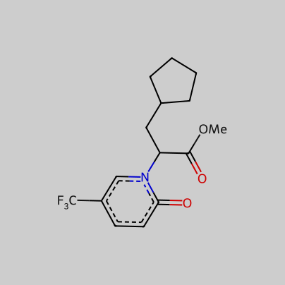 COC(=O)C(CC1CCCC1)n1cc(C(F)(F)F)ccc1=O